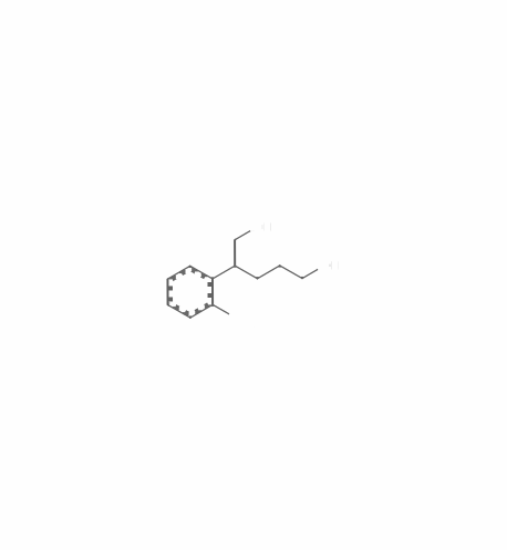 O=C(O)c1ccccc1C(CO)CCCO